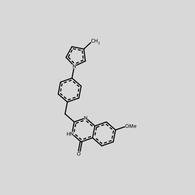 COc1ccc2c(=O)[nH]c(Cc3ccc(-n4ccc(C)c4)cc3)nc2c1